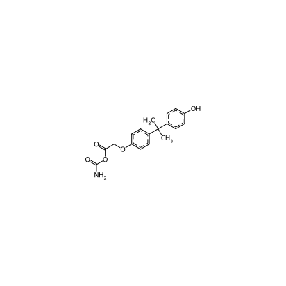 CC(C)(c1ccc(O)cc1)c1ccc(OCC(=O)OC(N)=O)cc1